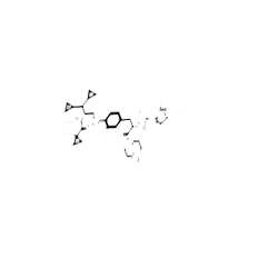 CCOC(=O)N1CC[C@H]1C(=O)N[C@@H](C(=O)N1CCN(C)CC1)[C@@H](C)c1ccc(NC(=O)[C@@H](NC(=O)C2(F)CC2)C(C2CC2)C2CC2)c(F)c1